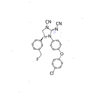 N#C/N=C1\N(C#N)C[C@H](c2cccc(CF)c2)N1c1ccc(Oc2ccc(Cl)cc2)cc1